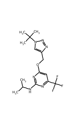 CC(C)Nc1nc(OCc2cn(C(C)(C)C)nn2)cc(C(F)(F)F)n1